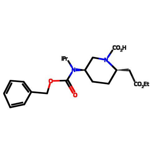 CCOC(=O)C[C@@H]1CC[C@@H](N(C(=O)OCc2ccccc2)C(C)C)CN1C(=O)O